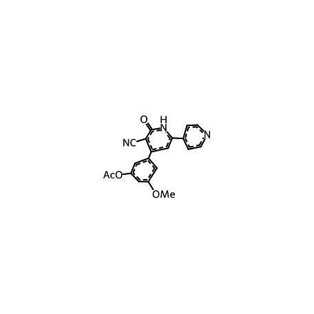 COc1cc(OC(C)=O)cc(-c2cc(-c3ccncc3)[nH]c(=O)c2C#N)c1